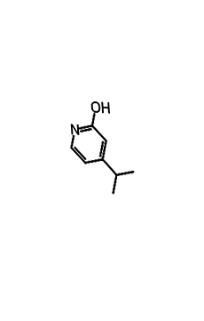 CC(C)c1ccnc(O)c1